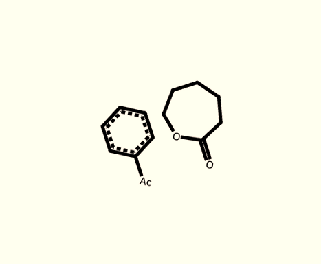 CC(=O)c1ccccc1.O=C1CCCCCO1